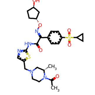 CC(=O)N1CCN(Cc2cnc(NC(=O)/C(=N/O[C@@H]3CC[C@@H](O)C3)c3ccc(S(=O)(=O)C4CC4)cc3)s2)C[C@@H]1C